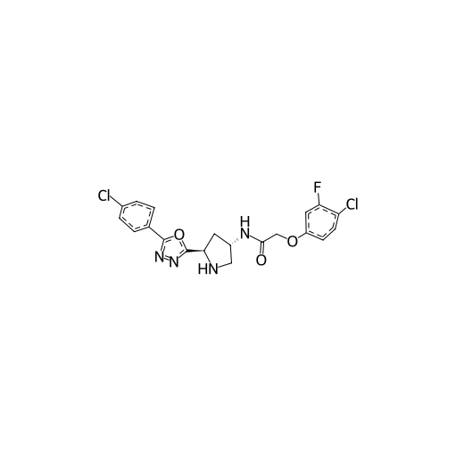 O=C(COc1ccc(Cl)c(F)c1)N[C@@H]1CN[C@@H](c2nnc(-c3ccc(Cl)cc3)o2)C1